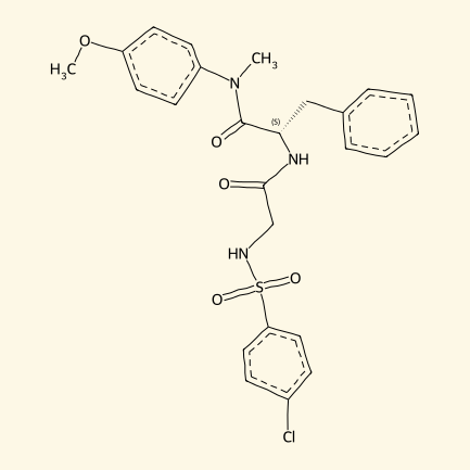 COc1ccc(N(C)C(=O)[C@H](Cc2ccccc2)NC(=O)CNS(=O)(=O)c2ccc(Cl)cc2)cc1